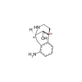 Nc1cccc2c1C[C@H]1NCC[C@@]23CCCCC13O